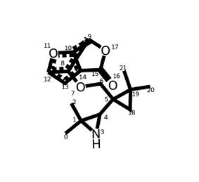 CC1(C)NC1C1(COc2c3c4oc2cc4C(=O)O3)CC1(C)C